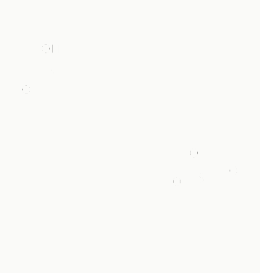 CCS(=O)(=O)Oc1ccc(C=CC(=O)O)cc1